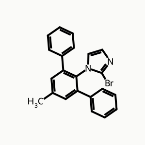 Cc1cc(-c2ccccc2)c(-n2ccnc2Br)c(-c2ccccc2)c1